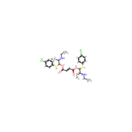 CCNC(C)C(OC(=O)/C=C/C(=O)OC(Sc1ccc(Cl)cc1)C(C)NCC)Sc1ccc(Cl)cc1